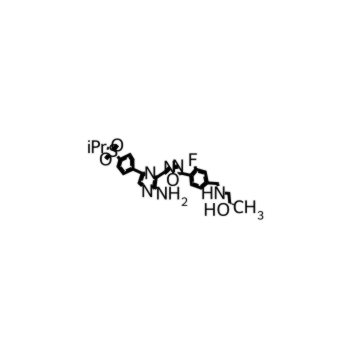 CC(C)S(=O)(=O)c1ccc(-c2cnc(N)c(-c3nnc(-c4ccc(CNC[C@H](C)O)cc4F)o3)n2)cc1